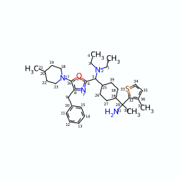 CCN(CC)C(c1nc(Cc2ccccc2)c(N2CCC(C)CC2)o1)C1CCC(C(C)(N)c2sccc2C)CC1